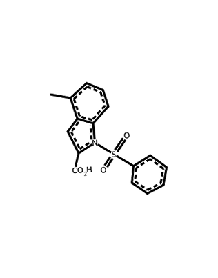 Cc1cccc2c1cc(C(=O)O)n2S(=O)(=O)c1ccccc1